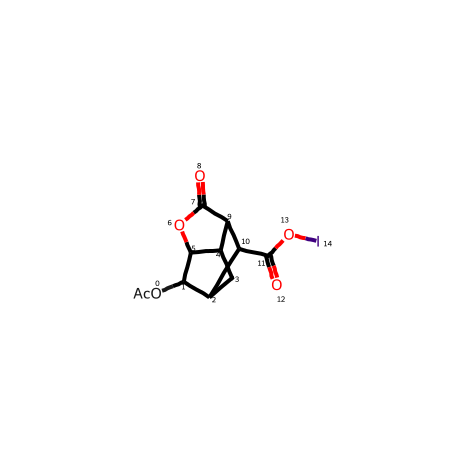 CC(=O)OC1C2CC3C1OC(=O)C3C2C(=O)OI